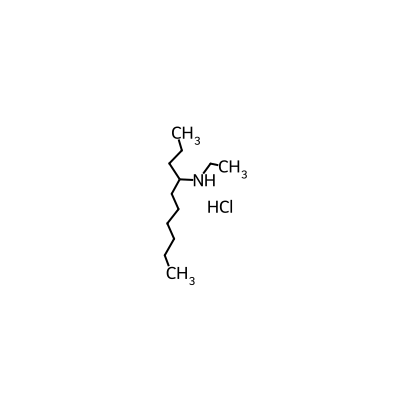 CCCCCCC(CCC)NCC.Cl